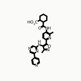 Cc1nc(-c2onc(C)c2Nc2cncc(-c3ccncc3)n2)ccc1NC(=O)C1CCCCC1C(=O)O